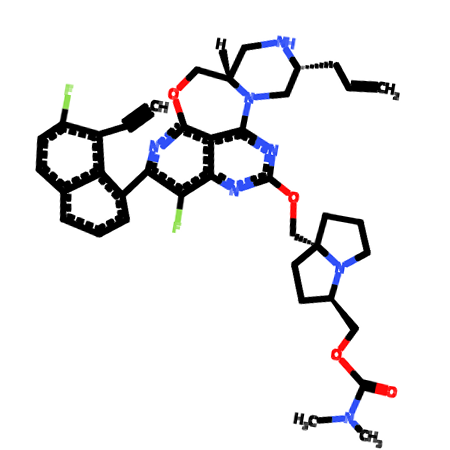 C#Cc1c(F)ccc2cccc(-c3nc4c5c(nc(OC[C@]67CCCN6[C@@H](COC(=O)N(C)C)CC7)nc5c3F)N3C[C@@H](CC=C)NC[C@H]3CO4)c12